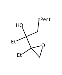 CCCCCCC(O)(CC)C1(CC)CO1